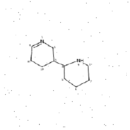 C1=NCC(C2CCCCN2)CC1